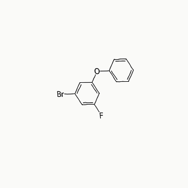 Fc1cc(Br)cc(Oc2ccccc2)c1